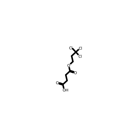 O=C(O)CCC(=O)OCCC(Cl)(Cl)Cl